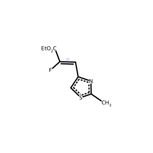 CCOC(=O)/C(F)=C/c1csc(C)n1